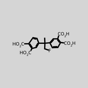 CC(CF)(c1ccc(C(=O)O)c(C(=O)O)c1)c1ccc(C(=O)O)c(C(=O)O)c1